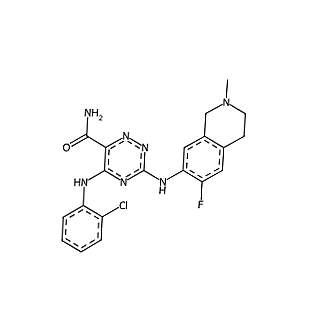 CN1CCc2cc(F)c(Nc3nnc(C(N)=O)c(Nc4ccccc4Cl)n3)cc2C1